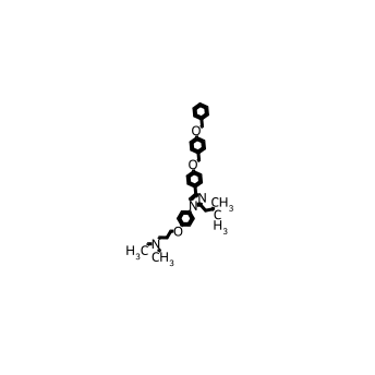 CCN(CC)CCCOc1ccc(-n2cc(-c3ccc(OCc4ccc(OCc5ccccc5)cc4)cc3)nc2CC(C)C)cc1